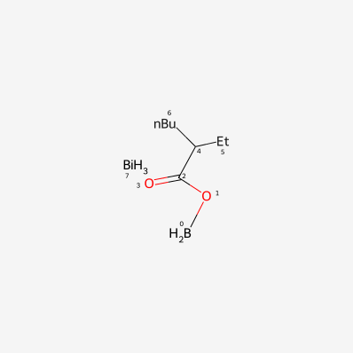 BOC(=O)C(CC)CCCC.[BiH3]